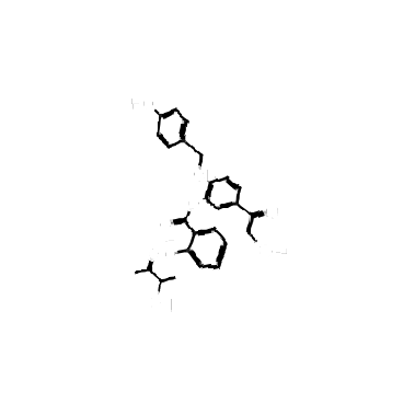 CC(=O)C(C)O.O=C(CO)c1ccccc1.O=C(O)c1ccccc1O.OCc1ccc(O)cc1